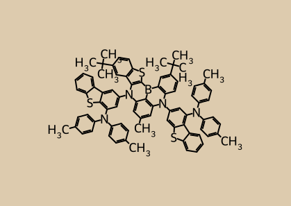 Cc1ccc(N(c2ccc(C)cc2)c2cc(N3c4cc(C)cc5c4B(c4cc(C(C)(C)C)ccc4N5c4cc(N(c5ccc(C)cc5)c5ccc(C)cc5)c5c(c4)sc4ccccc45)c4sc5ccc(C(C)(C)C)cc5c43)cc3c2sc2ccccc23)cc1